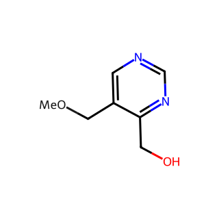 COCc1cncnc1CO